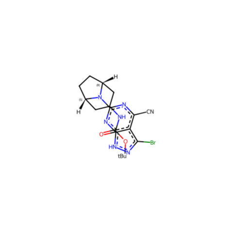 CC(C)(C)OC(=O)NC1C[C@H]2CC[C@@H](C1)N2c1nc(C#N)c2c(Br)n[nH]c2n1